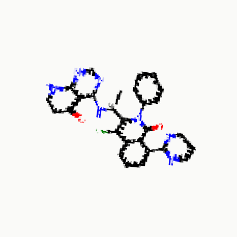 C[C@H](Nc1ncnc2[nH]ccc(=O)c12)c1c(Cl)c2cccc(-c3ncccn3)c2c(=O)n1-c1ccccc1